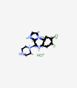 Cl.Fc1cc2nc(N3CCNCC3)c3nccn3c2cc1Cl